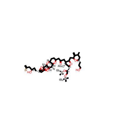 C=C(Br)C[C@H](O)CC[C@@]12CC3O[C@H]4[C@@H](O1)[C@H]1OC(CC(=O)CC5C(CC6O[C@@H](CCCO)CC(C)C6=C)O[C@H](C[C@@H](CO[Si](C)(C)C(C)(C)C)O[Si](C)(C)C(C)(C)C)[C@@H]5OC)CC[C@@H]1O[C@H]4[C@H]3O2